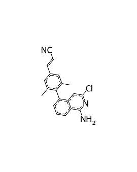 Cc1cc(C=CC#N)cc(C)c1-c1cccc2c(N)nc(Cl)cc12